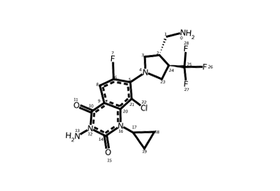 NC[C@H]1CN(c2c(F)cc3c(=O)n(N)c(=O)n(C4CC4)c3c2Cl)C[C@@H]1C(F)(F)F